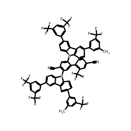 Cc1cc(-c2ccc3c(c2)c2cc(-c4cc(C(F)(F)F)cc(C(F)(F)F)c4)ccc2n3-c2cc(-c3ccc(C#N)cc3C(F)(F)F)c(-n3c4ccc(-c5cc(C)cc(C(F)(F)F)c5)cc4c4cc(-c5cc(C(F)(F)F)cc(C(F)(F)F)c5)ccc43)cc2C#N)cc(C(F)(F)F)c1